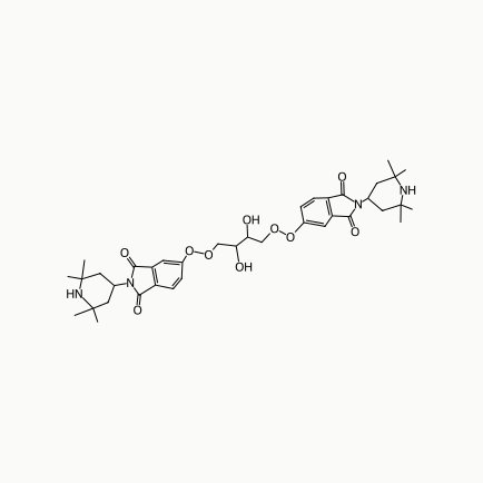 CC1(C)CC(N2C(=O)c3ccc(OOCC(O)C(O)COOc4ccc5c(c4)C(=O)N(C4CC(C)(C)NC(C)(C)C4)C5=O)cc3C2=O)CC(C)(C)N1